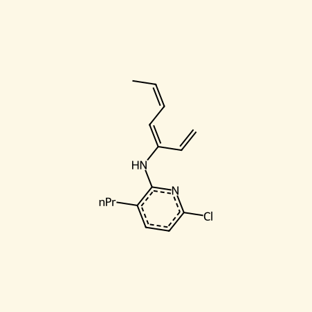 C=C/C(=C\C=C/C)Nc1nc(Cl)ccc1CCC